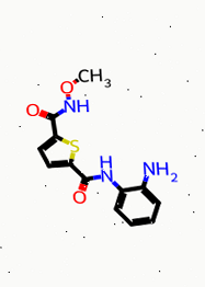 CONC(=O)c1ccc(C(=O)Nc2ccccc2N)s1